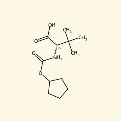 CC(C)(C)[C@H]([SiH2]C(=O)OC1CCCC1)C(=O)O